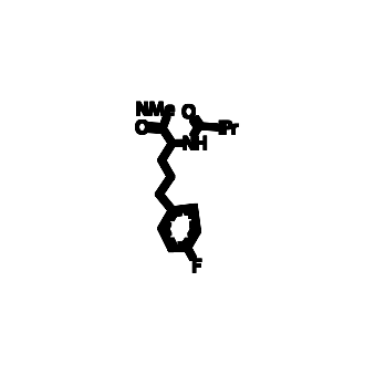 CNC(=O)C(CCCc1ccc(F)cc1)NC(=O)C(C)C